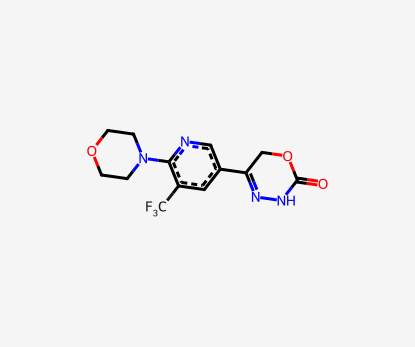 O=C1NN=C(c2cnc(N3CCOCC3)c(C(F)(F)F)c2)CO1